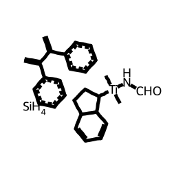 C=C(C(=C)c1ccccc1)c1ccccc1.[CH3][Ti]([CH3])([NH]C=O)[CH]1CCC2C=CC=CC21.[SiH4]